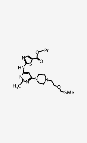 CSCOCCN1CCN(c2cc(Nc3ncc(C(=O)OC(C)C)s3)nc(C)n2)CC1